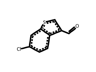 O=Cc1csc2cc(Cl)ccc12